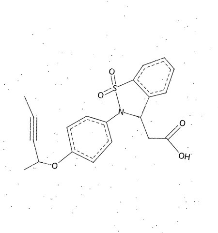 CC#CC(C)Oc1ccc(N2C(CC(=O)O)c3ccccc3S2(=O)=O)cc1